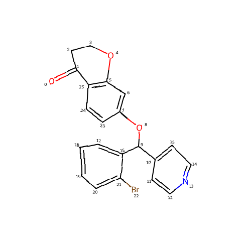 O=C1CCOc2cc(OC(c3ccncc3)c3ccccc3Br)ccc21